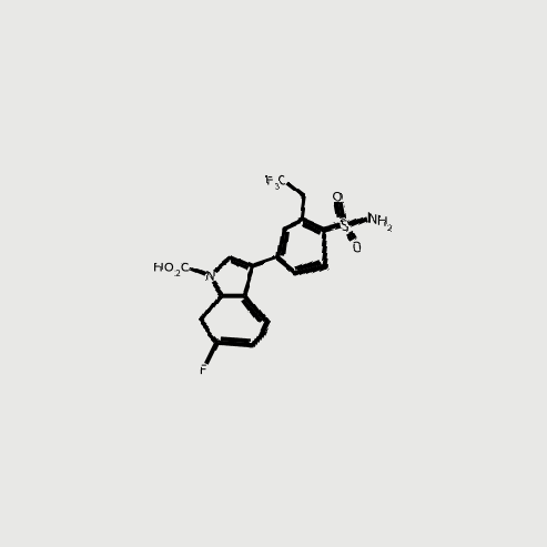 NS(=O)(=O)c1ccc(C2=CN(C(=O)O)C3CC(F)=CC=C23)cc1CC(F)(F)F